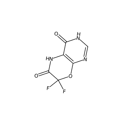 O=C1Nc2c(nc[nH]c2=O)OC1(F)F